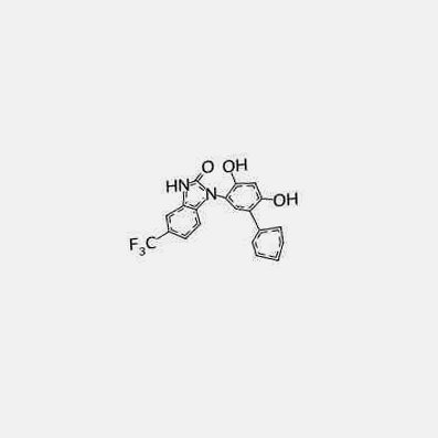 O=c1[nH]c2cc(C(F)(F)F)ccc2n1-c1cc(-c2ccccc2)c(O)cc1O